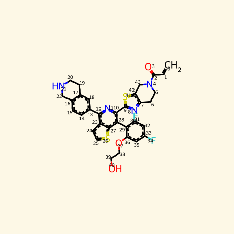 C=CC(=O)N1CCc2nc(-c3nc(-c4ccc5c(c4)CCNC5)c4ccsc4c3-c3c(F)cc(F)cc3OCCO)sc2C1